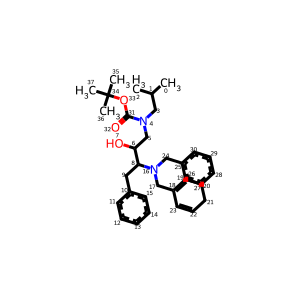 CC(C)CN(CC(O)C(Cc1ccccc1)N(CC1=CCCC=C1)Cc1ccccc1)C(=O)OC(C)(C)C